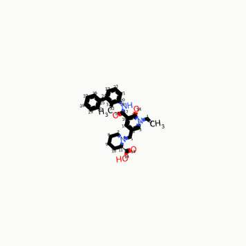 CCn1cc(CN2CCCC[C@H]2C(=O)O)cc(C(=O)Nc2cccc(-c3ccccc3)c2C)c1=O